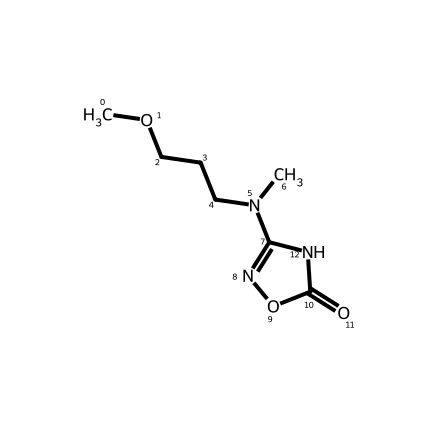 COCCCN(C)c1noc(=O)[nH]1